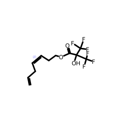 C=CC/C=C\CCOC(=O)C(O)(C(F)(F)F)C(F)(F)F